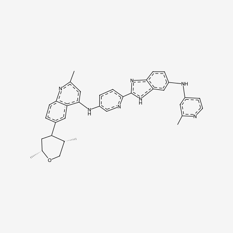 Cc1cc(Nc2ccc3nc(-c4ccc(Nc5cc(C)nc6ccc(C7C[C@@H](C)OC[C@H]7C)cc56)cn4)[nH]c3c2)ccn1